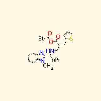 CCCC(NCC(Cc1cccs1)C(=O)OC(=O)CC)c1nc2ccccc2n1C